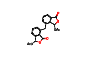 CC(=O)OC1OC(=O)c2c(Cc3cccc4c3C(OC(C)=O)OC4=O)cccc21